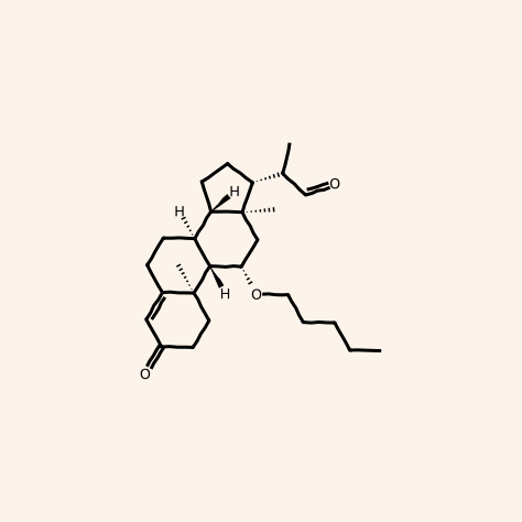 CCCCCO[C@H]1C[C@]2(C)[C@@H](C(C)C=O)CC[C@H]2[C@@H]2CCC3=CC(=O)CC[C@]3(C)[C@H]21